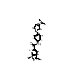 Cc1nn(C)c2sc(C(=O)Nc3ccc(N4CCC(N(C)C)C4)cc3)cc12